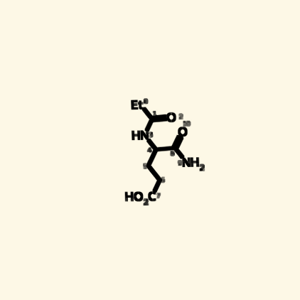 CCC(=O)NC(CCC(=O)O)C(N)=O